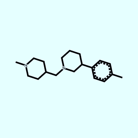 Cc1ccc(C2CCCN(CC3CCN(C)CC3)C2)cc1